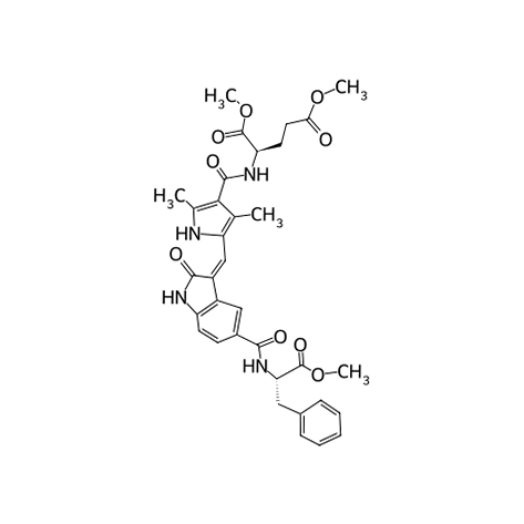 COC(=O)CC[C@@H](NC(=O)c1c(C)[nH]c(/C=C2\C(=O)Nc3ccc(C(=O)N[C@@H](Cc4ccccc4)C(=O)OC)cc32)c1C)C(=O)OC